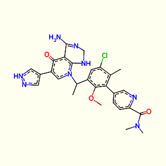 COc1c(C(C)n2cc(-c3cn[nH]c3)c(=O)c3c2NCN=C3N)cc(Cl)c(C)c1-c1ccc(C(=O)N(C)C)nc1